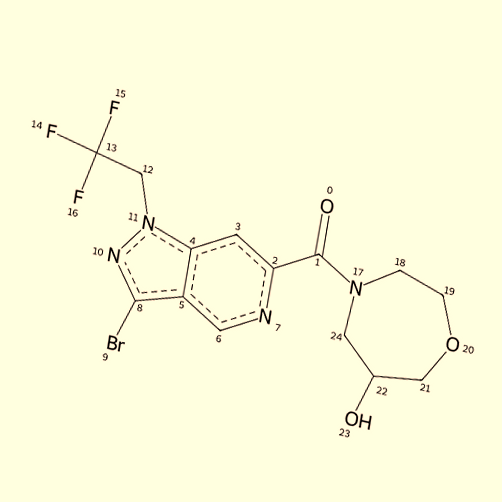 O=C(c1cc2c(cn1)c(Br)nn2CC(F)(F)F)N1CCOCC(O)C1